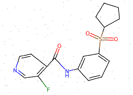 O=C(Nc1cccc(S(=O)(=O)C2CCCC2)c1)c1ccncc1F